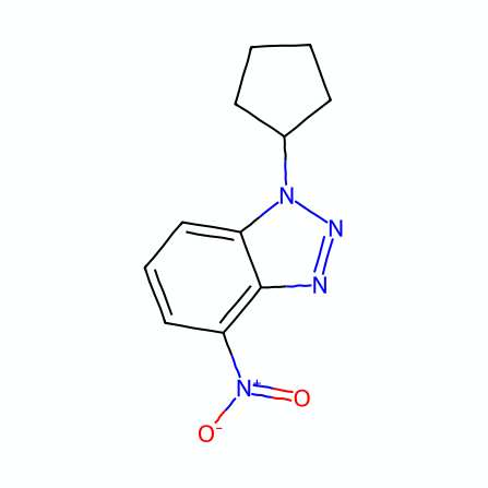 O=[N+]([O-])c1cccc2c1nnn2C1CCCC1